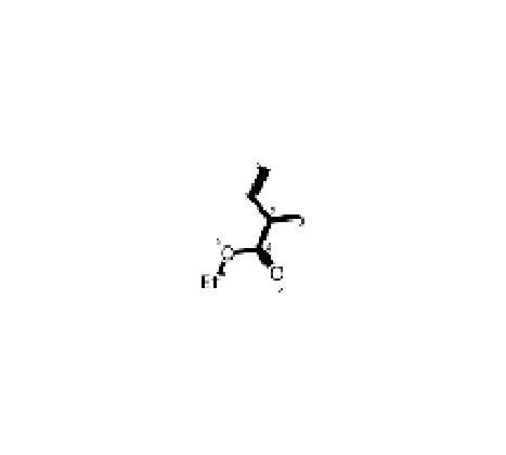 C=CC(C)C(=O)OCC